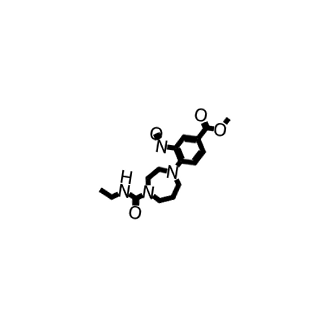 CCNC(=O)N1CCCN(c2ccc(C(=O)OC)cc2N=O)CC1